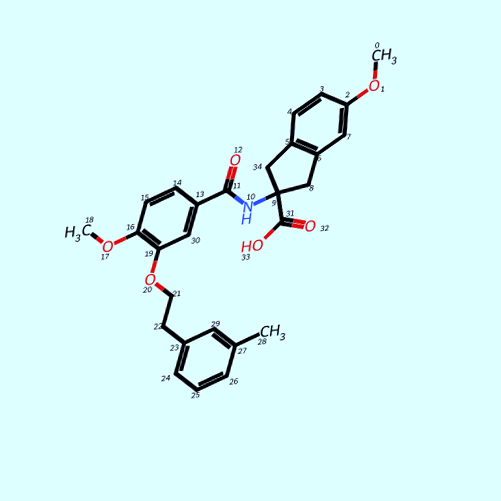 COc1ccc2c(c1)CC(NC(=O)c1ccc(OC)c(OCCc3cccc(C)c3)c1)(C(=O)O)C2